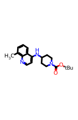 Cc1cccc2c(NC3CCN(C(=O)OC(C)(C)C)CC3)ccnc12